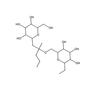 CCCC(C)(CC1OC(CO)C(O)C(O)C1O)OCC1OC(CC)C(O)C(O)C1O